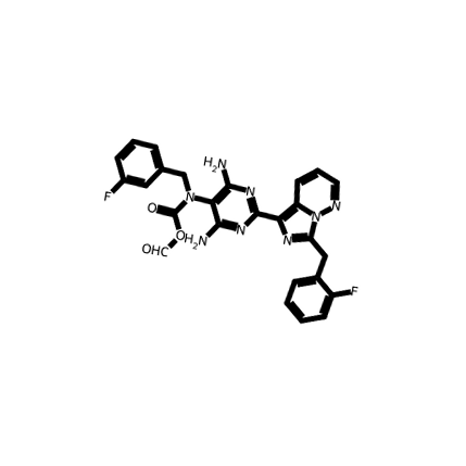 Nc1nc(-c2nc(Cc3ccccc3F)n3ncccc23)nc(N)c1N(Cc1cccc(F)c1)C(=O)OC=O